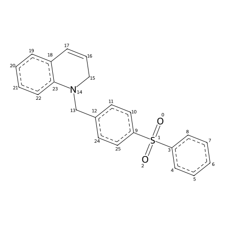 O=S(=O)(c1ccccc1)c1ccc(CN2CC=Cc3ccccc32)cc1